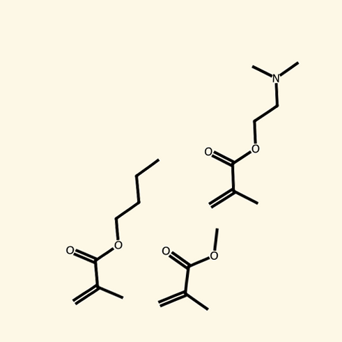 C=C(C)C(=O)OC.C=C(C)C(=O)OCCCC.C=C(C)C(=O)OCCN(C)C